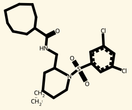 O=C(NCC1CCCCN1S(=O)(=O)c1cc(Cl)cc(Cl)c1)[C]1CCCCCCC1.[CH2].[CH2]